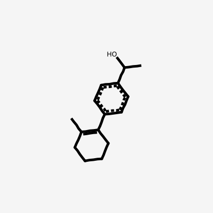 CC1=C(c2ccc(C(C)O)cc2)CCCC1